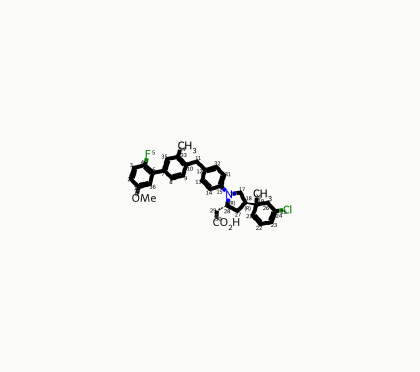 COc1ccc(F)c(-c2ccc(Cc3ccc(N4C[C@@H](C5(C)C=CC=C(Cl)C5)C[C@@H]4CC(=O)O)cc3)c(C)c2)c1